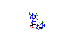 Clc1nc(Cl)c2ncn(CC3(Cn4cnc5c(Cl)nc(Cl)nc54)COC3)c2n1